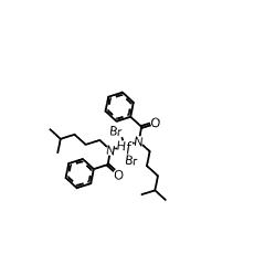 CC(C)CCC[N](C(=O)c1ccccc1)[Hf]([Br])([Br])[N](CCCC(C)C)C(=O)c1ccccc1